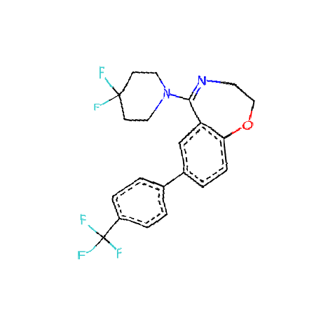 FC1(F)CCN(C2=NCCOc3ccc(-c4ccc(C(F)(F)F)cc4)cc32)CC1